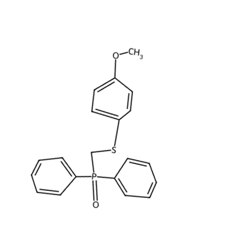 COc1ccc(SCP(=O)(c2ccccc2)c2ccccc2)cc1